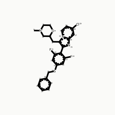 CN1CCOC(Cc2c(-c3c(F)cc(SCc4ccccc4)cc3F)nc3cc(Cl)ccn23)C1